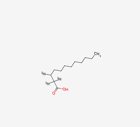 [2H]C(CCCCCCCCC)C([2H])([2H])C(=O)O